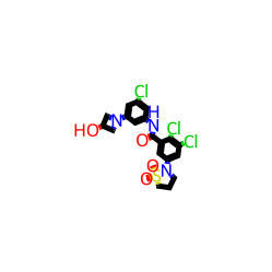 O=C(Nc1cc(Cl)cc(N2CC(O)C2)c1)c1cc(N2CCCS2(=O)=O)cc(Cl)c1Cl